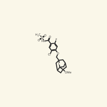 COC12CC3CC4(COc5cc(F)c(C(=O)NS(C)(=O)=O)cc5Cl)CC(C1)C2(C3)C4